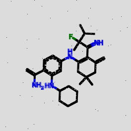 C=C1CC(C)(C)CC(Nc2ccc(C(=C)N)c(NC3CCCCC3)c2)=C1C(=N)C(C)(F)C(C)C